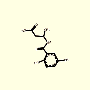 CC(CC(=O)O)NC(=O)c1cc(O)ccc1O